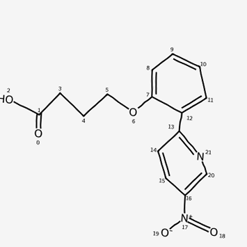 O=C(O)CCCOc1ccccc1-c1ccc([N+](=O)[O-])cn1